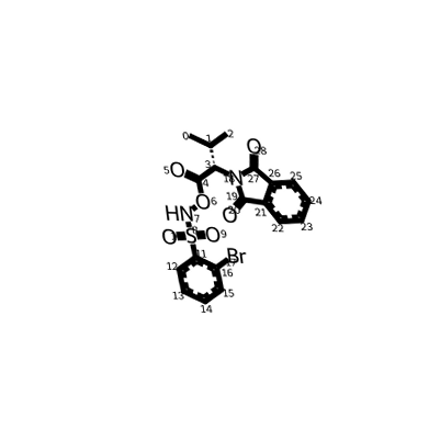 CC(C)[C@@H](C(=O)ONS(=O)(=O)c1ccccc1Br)N1C(=O)c2ccccc2C1=O